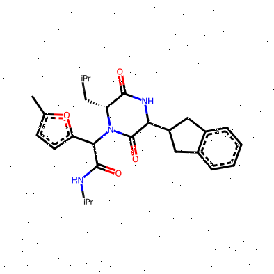 Cc1ccc(C(C(=O)NC(C)C)N2C(=O)C(C3Cc4ccccc4C3)NC(=O)[C@H]2CC(C)C)o1